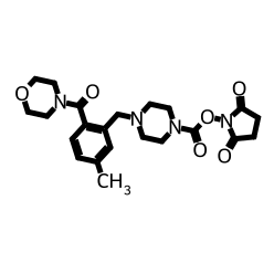 Cc1ccc(C(=O)N2CCOCC2)c(CN2CCN(C(=O)ON3C(=O)CCC3=O)CC2)c1